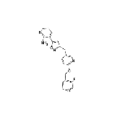 Nc1ncccc1-c1cc(Cc2ccc(OCc3ccncc3F)nc2)no1